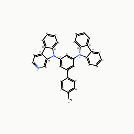 N#Cc1ccc(-c2cc(-n3c4ccccc4c4ccccc43)cc(-n3c4ccccc4c4ccncc43)c2)cc1